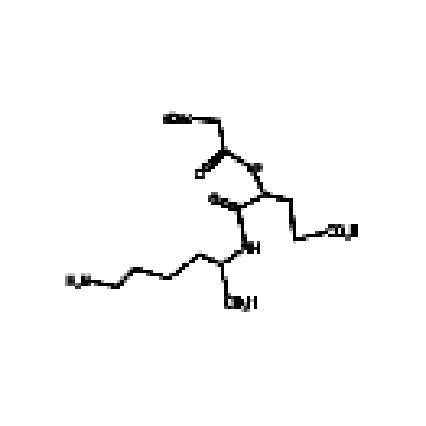 CCCCCCCCCCCC(=O)NC(CCC(=O)O)C(=O)NC(CCCCN)C(=O)O